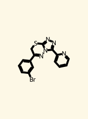 Brc1cccc(C2=Nn3c(nnc3-c3ccccn3)SC2)c1